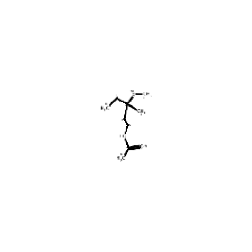 CCC(C)(CCOC(C)=O)OC